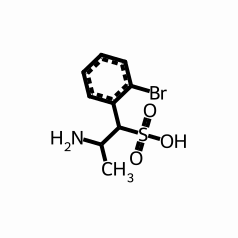 CC(N)C(c1ccccc1Br)S(=O)(=O)O